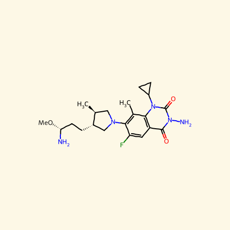 CO[C@@H](N)CC[C@H]1CN(c2c(F)cc3c(=O)n(N)c(=O)n(C4CC4)c3c2C)C[C@@H]1C